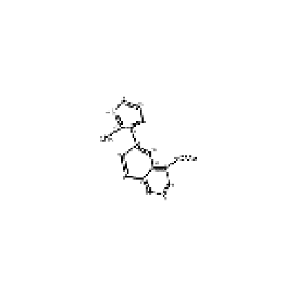 COc1ccnc2ccc(-c3cccnc3Cl)cc12